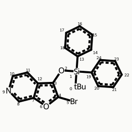 CC(C)(C)[Si](Oc1c(Br)oc2cnccc12)(c1ccccc1)c1ccccc1